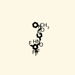 CN(C(=O)CN1CCC(CNC(=O)c2cc(CF)cc(C(F)(F)F)c2)CC1)C1CCCCC1